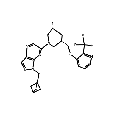 C[C@@H]1C[C@H](COc2cccnc2C(F)(F)F)CN(c2cnc3cnn(CC45CC(C4)C5)c3n2)C1